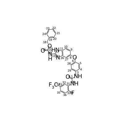 O=C(Nc1ccc(Oc2ccc3[nH]c(NC(=O)OCc4ccccc4)nc3c2)cc1)Nc1cc(C(F)(F)F)ccc1F